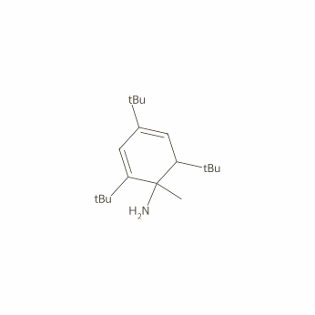 CC(C)(C)C1=CC(C(C)(C)C)C(C)(N)C(C(C)(C)C)=C1